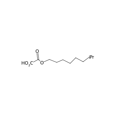 CC(C)CCCCCCOC(=O)C(=O)O